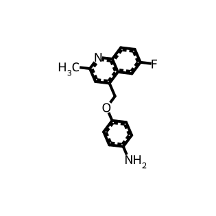 Cc1cc(COc2ccc(N)cc2)c2cc(F)ccc2n1